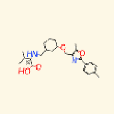 Cc1ccc(-c2nc(COC3CCCC(CN[C@H](C(=O)O)C(C)C)C3)c(C)o2)cc1